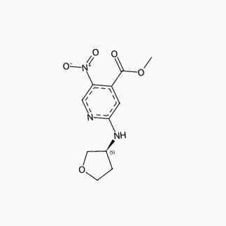 COC(=O)c1cc(N[C@H]2CCOC2)ncc1[N+](=O)[O-]